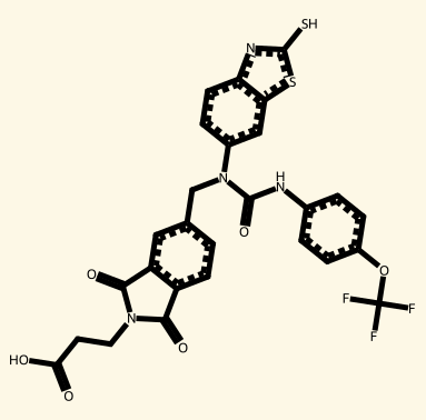 O=C(O)CCN1C(=O)c2ccc(CN(C(=O)Nc3ccc(OC(F)(F)F)cc3)c3ccc4nc(S)sc4c3)cc2C1=O